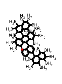 Bc1c(B)c(B)c2c(-c3ccc(-c4c5c(B)c(B)c(B)c(B)c5c(-c5c(B)c(B)c(B)c6c(B)c(B)c(B)c(B)c56)c5c(B)c(B)c(B)c(B)c45)c4ccccc34)c(B)c(B)c(B)c2c1B